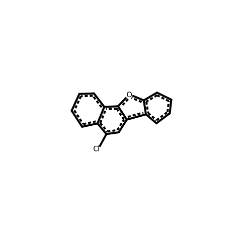 Clc1cc2c3ccccc3oc2c2ccccc12